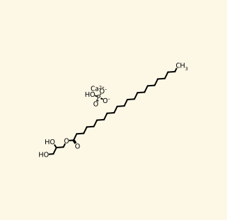 CCCCCCCCCCCCCCCCCCCCCC(=O)OCC(O)CO.O=P([O-])([O-])O.[Ca+2]